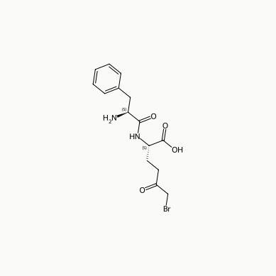 N[C@@H](Cc1ccccc1)C(=O)N[C@@H](CCC(=O)CBr)C(=O)O